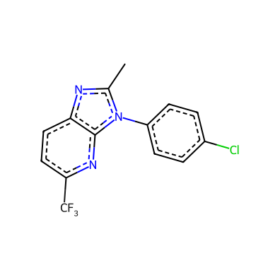 Cc1nc2ccc(C(F)(F)F)nc2n1-c1ccc(Cl)cc1